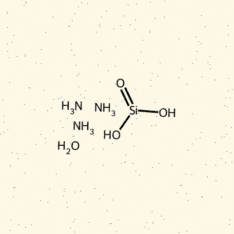 N.N.N.O.O=[Si](O)O